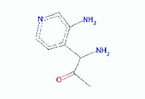 CC(=O)C(N)c1ccncc1N